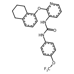 O=C(Nc1ccc(OC(F)(F)F)cc1)Nc1cccnc1Oc1cccc2c1CCCC2